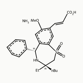 CCCC[C@]1(CC)CS(=O)(=O)c2cc(C=CC(=O)O)c(OC)cc2[C@@H](c2ccccc2)N1.N